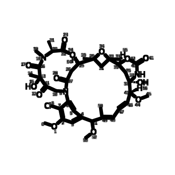 COc1cc2cc(c1Cl)N1CC(=O)C(C)(O)C(=O)N(C)[C@@H](C)C(=O)O[C@@H](CC1=O)[C@@]1(C)CC(C)(O1)[C@@H]1C[C@@](O)(NC(=O)O1)[C@H](OC)/C=C/C=C(\C)C2OC